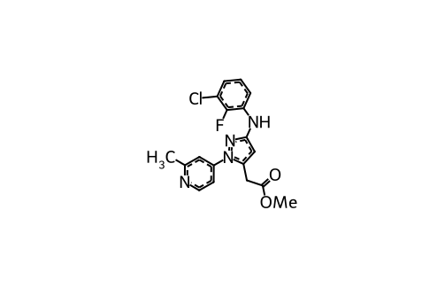 COC(=O)Cc1cc(Nc2cccc(Cl)c2F)nn1-c1ccnc(C)c1